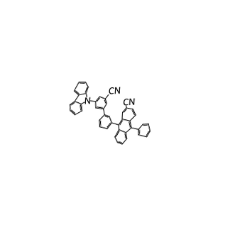 N#Cc1cc(-c2cccc(-c3c4ccccc4c(-c4ccccc4)c4ccc(C#N)cc34)c2)cc(-n2c3ccccc3c3ccccc32)c1